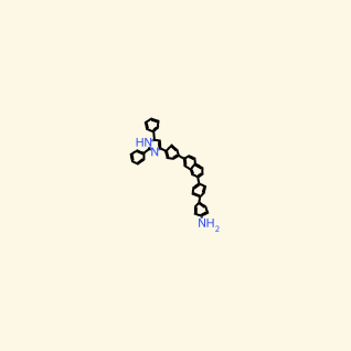 Nc1ccc(-c2ccc(-c3ccc4ccc(-c5ccc(C6=CC(c7ccccc7)NC(c7ccccc7)=N6)cc5)cc4c3)cc2)cc1